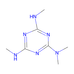 CNc1nc(NC)nc(N(C)C)n1